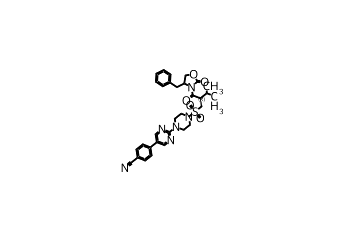 CC(C)[C@@H](CS(=O)(=O)N1CCN(c2ncc(-c3ccc(C#N)cc3)cn2)CC1)C(=O)N1C(=O)OCC1Cc1ccccc1